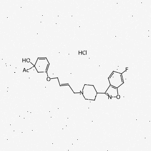 CC(=O)C1(O)C=CC=C(OCC=CCN2CCC(c3noc4cc(F)ccc34)CC2)C1.Cl